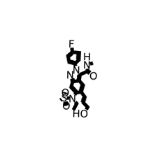 CCN(c1cc2nn(-c3ccc(F)cc3)c(C(=O)NC)c2cc1C=CCO)S(C)(=O)=O